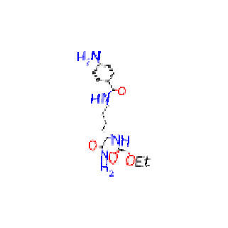 CCOCC(=O)N[C@@H](CCCCNC(=O)c1ccc(N)cc1)C(N)=O